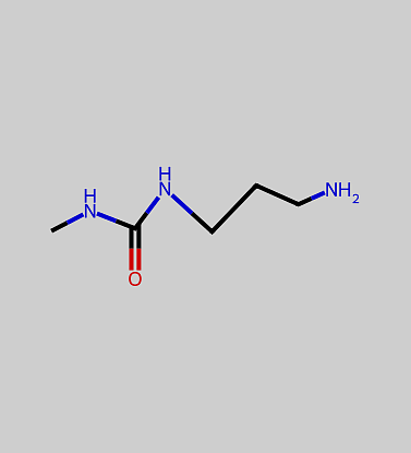 CNC(=O)NCCCN